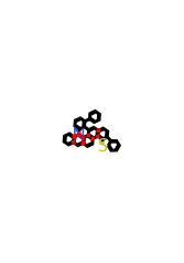 c1ccc(-c2ccccc2-c2c(-c3ccccc3)cccc2N(c2ccccc2)c2cccc(-c3cccc4c3sc3ccccc34)c2)cc1